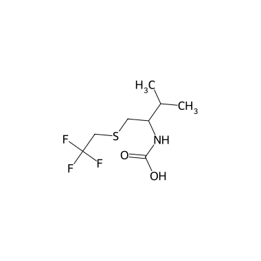 CC(C)C(CSCC(F)(F)F)NC(=O)O